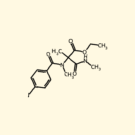 CCOC(=O)C(C)(C(=O)NC)N(C)C(=O)c1ccc(I)cc1